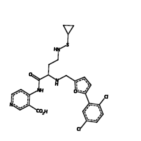 O=C(O)c1cnccc1NC(=O)C(CCNSC1CC1)NCc1ccc(-c2cc(Cl)ccc2Cl)o1